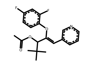 CC(=O)OC(C(=Cc1cccnc1)Oc1ccc(F)cc1F)C(C)(C)C